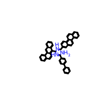 NC(NC(NCc1ccc2c(ccc3c4ccccc4ccc23)c1)c1c2ccccc2cc2c1ccc1ccccc12)c1ccc(-c2ccccc2)cc1